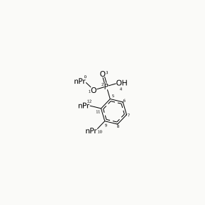 CCCOP(=O)(O)c1cccc(CCC)c1CCC